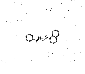 C/C(=N\OSc1cccc2ccccc12)c1ccccc1